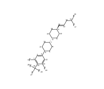 Fc1cc(C2CCC([C@H]3CC[C@H](/C=C/CC(F)F)CC3)CC2)cc(F)c1C(F)(F)F